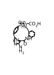 Nc1ncc2nc1C(=O)Nc1ccccc1CN(CC(=O)O)S(=O)(=O)c1ccc-2cc1